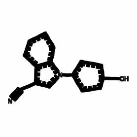 N#Cc1cn(-c2ccc(O)cc2)c2ccccc12